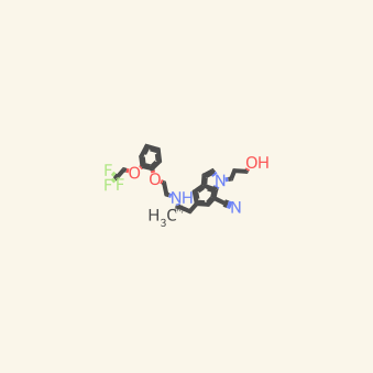 C[C@H](Cc1cc(C#N)c2c(ccn2CCCO)c1)NCCOc1ccccc1OCC(F)(F)F